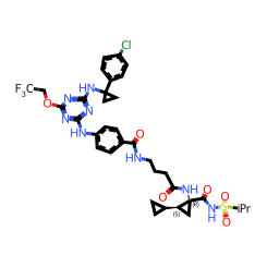 CC(C)S(=O)(=O)NC(=O)[C@@]1(NC(=O)CCCNC(=O)c2ccc(Nc3nc(NC4(c5ccc(Cl)cc5)CC4)nc(OCC(F)(F)F)n3)cc2)C[C@H]1C1CC1